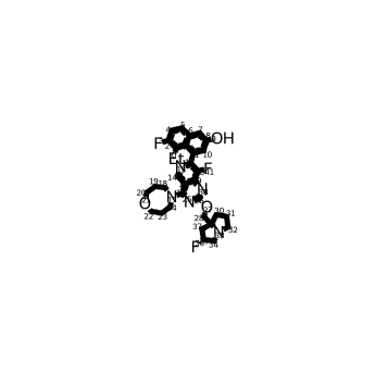 CCc1c(F)ccc2cc(O)cc(-c3ncc4c(N5CCCOCCC5)nc(OCC56CCCN5C[C@H](F)C6)nc4c3F)c12